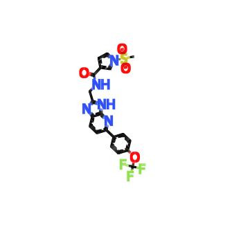 CS(=O)(=O)n1ccc(C(=O)NCc2nc3ccc(-c4ccc(OC(F)(F)F)cc4)nc3[nH]2)c1